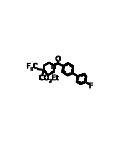 CCOC(=O)C1(CC(F)(F)F)CCN(C(=O)c2ccc(-c3ccc(F)cc3)cc2)CC1